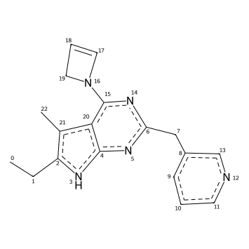 CCc1[nH]c2nc(Cc3cccnc3)nc(N3C=CC3)c2c1C